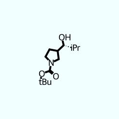 CC(C)[C@@H](O)C1CCN(C(=O)OC(C)(C)C)C1